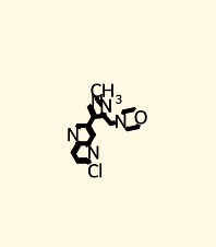 Cn1cc(-c2cnc3ccc(Cl)nc3c2)c(CN2CCOCC2)n1